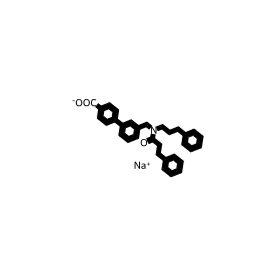 O=C([O-])c1ccc(-c2cccc(CN(CCCc3ccccc3)C(=O)CCc3ccccc3)c2)cc1.[Na+]